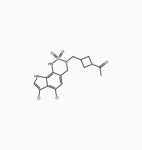 CC(=O)N1CC(CN2Cc3cc(Cl)c4c(Cl)c[nH]c4c3NS2(=O)=O)C1